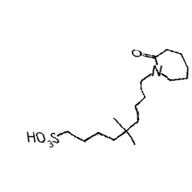 CC(C)(CCCCN1CCCCCC1=O)CCCCS(=O)(=O)O